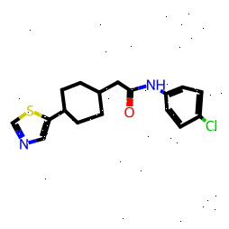 O=C(CC1CCC(c2cncs2)CC1)Nc1ccc(Cl)cc1